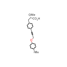 CCCCc1ccc(OCC#Cc2ccc(C[C@H](OC)C(=O)O)cc2)cc1